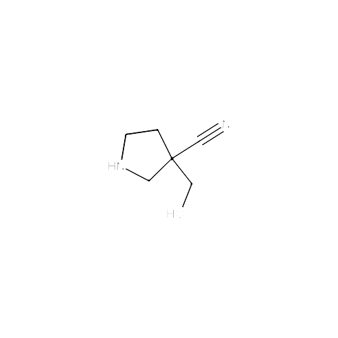 N#CC1(CO)CCNC1